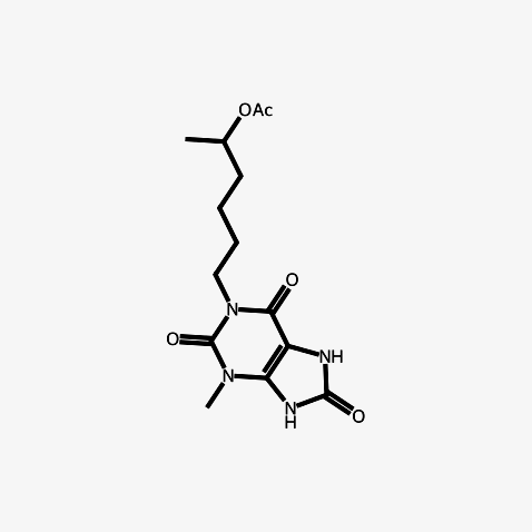 CC(=O)OC(C)CCCCn1c(=O)c2[nH]c(=O)[nH]c2n(C)c1=O